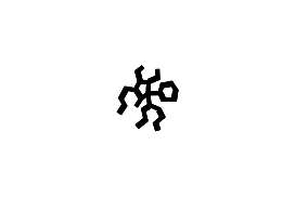 C=C/C=C\C1=C(C)C(C(/C=C\C=C)=C/C=C)(c2ccccc2)C(=C/C)/C1=C\C